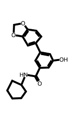 O=C(NC1CCCCC1)c1cc(O)cc(-c2ccc3c(c2)OCO3)c1